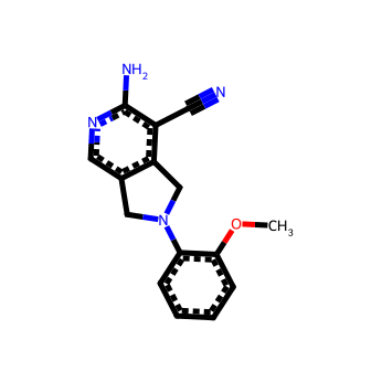 COc1ccccc1N1Cc2cnc(N)c(C#N)c2C1